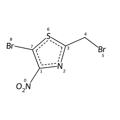 O=[N+]([O-])c1nc(CBr)sc1Br